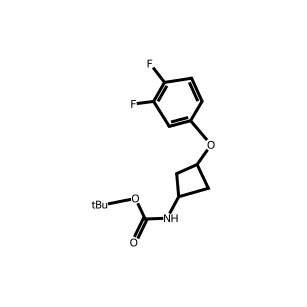 CC(C)(C)OC(=O)NC1CC(Oc2ccc(F)c(F)c2)C1